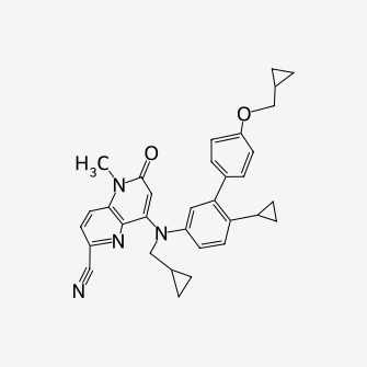 Cn1c(=O)cc(N(CC2CC2)c2ccc(C3CC3)c(-c3ccc(OCC4CC4)cc3)c2)c2nc(C#N)ccc21